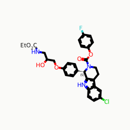 CCOC(=O)NCC(O)COc1ccc([C@H]2c3[nH]c4ccc(Cl)cc4c3CCN2C(=O)Oc2ccc(F)cc2)cc1